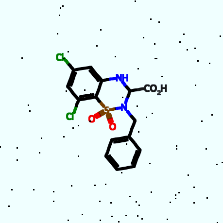 O=C(O)C1Nc2cc(Cl)cc(Cl)c2S(=O)(=O)N1Cc1ccccc1